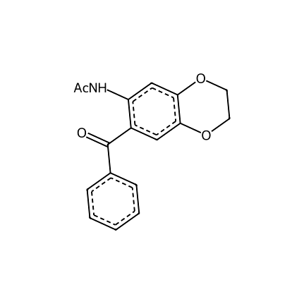 CC(=O)Nc1cc2c(cc1C(=O)c1ccccc1)OCCO2